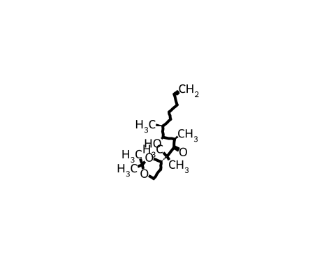 C=CCCC[C@H](C)[C@H](O)[C@@H](C)C(=O)C(C)(C)[C@@H]1CCOC(C)(C)O1